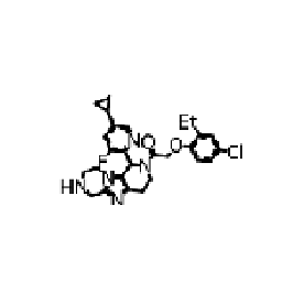 CCc1cc(Cl)ccc1OCC(=O)N1CCc2nc3n(c2C1c1ncc(C2CC2)cc1F)CCNC3